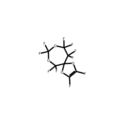 FC1=C(F)OC2(O1)C(F)(F)OC(F)(F)OC(F)(F)C2(F)F